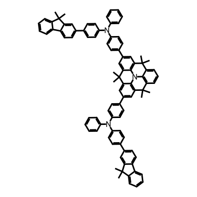 CC1(C)c2ccccc2-c2ccc(-c3ccc(N(c4ccccc4)c4ccc(-c5cc6c7c(c5)C(C)(C)c5cc(-c8ccc(N(c9ccccc9)c9ccc(-c%10ccc%11c(c%10)C(C)(C)c%10ccccc%10-%11)cc9)cc8)cc8c5N7c5c(cccc5C8(C)C)C6(C)C)cc4)cc3)cc21